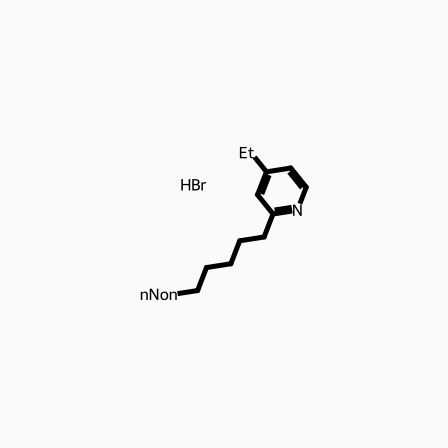 Br.CCCCCCCCCCCCCCc1cc(CC)ccn1